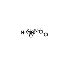 Cc1cc(-c2ccccc2)ccc1CN1CCN(C(=O)n2cc(C#N)cn2)CC1